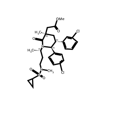 COC(=O)C[C@@]1(C)C[C@H](c2cccc(Cl)c2)[C@@H](c2ccc(Cl)cc2)N([C@@H](C)CCN(C)S(=O)(=O)C2CC2)C1=O